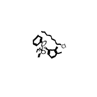 CCCCCCCCCl.CCO[N+](CC)(Cc1cccc(C)c1C)Oc1ccccc1